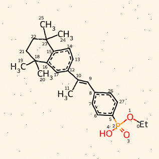 CCOP(=O)(O)c1ccc(/C=C(\C)c2ccc3c(c2)C(C)(C)CCC3(C)C)cc1